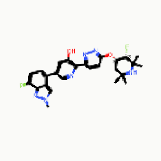 Cn1cc2c(-c3cnc(-c4ccc(O[C@H]5CC(C)(C)NC(C)(C)[C@H]5F)nn4)c(O)c3)ccc(F)c2n1